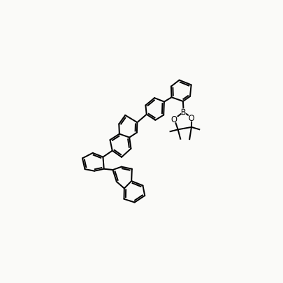 CC1(C)OB(c2ccccc2-c2ccc(-c3ccc4cc(-c5ccccc5-c5ccc6ccccc6c5)ccc4c3)cc2)OC1(C)C